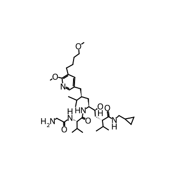 COCCCCc1cc(C[C@@H](C[C@H](NC(=O)[C@@H](NC(=O)CN)C(C)C)[C@@H](O)C[C@H](C(=O)NCC2CC2)C(C)C)C(C)C)cnc1OC